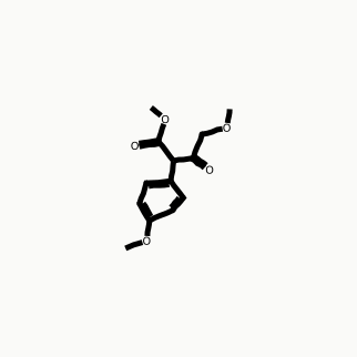 COCC(=O)C(C(=O)OC)c1ccc(OC)cc1